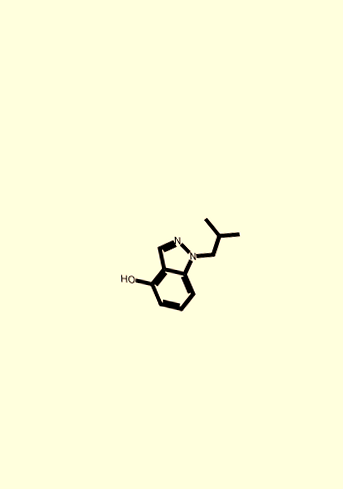 C[C](C)Cn1ncc2c(O)cccc21